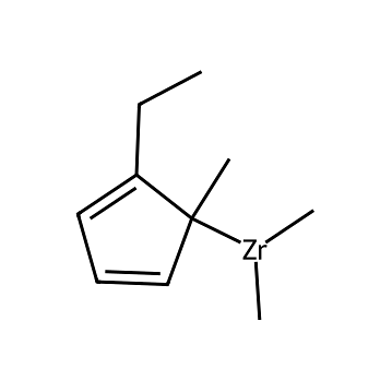 CCC1=CC=C[C]1(C)[Zr]([CH3])[CH3]